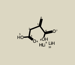 C=C(CC(=O)O)C(=O)O.[LiH].[LiH]